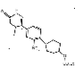 CCOC(=O)OC1CCN(c2ccc(C3=NNC(=O)CC3C)cc2[N+](=O)[O-])CC1